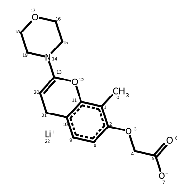 Cc1c(OCC(=O)[O-])ccc2c1OC(N1CCOCC1)=CC2.[Li+]